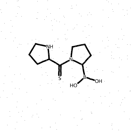 OB(O)C1CCCN1C(=S)C1CCCN1